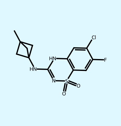 CC12CC(NC3=NS(=O)(=O)c4cc(F)c(Cl)cc4N3)(C1)C2